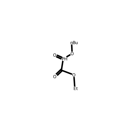 CCCCO[PH](=O)C(=O)OCC